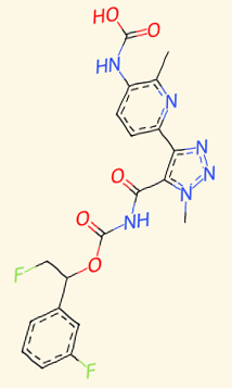 Cc1nc(-c2nnn(C)c2C(=O)NC(=O)OC(CF)c2cccc(F)c2)ccc1NC(=O)O